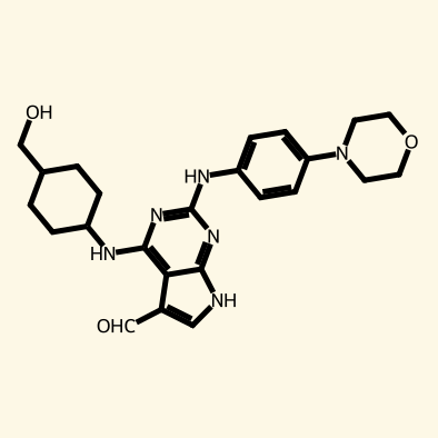 O=Cc1c[nH]c2nc(Nc3ccc(N4CCOCC4)cc3)nc(NC3CCC(CO)CC3)c12